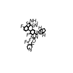 CN1CC[C@H](C(F)F)[C@](C)(COc2nc(N3C[C@H]4CC[C@@H](C3)N4)c3cc(F)c(-c4ccc(F)c5sc(N)c(C#N)c45)c(F)c3n2)C1